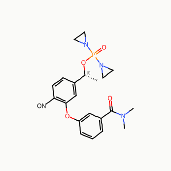 C[C@@H](OP(=O)(N1CC1)N1CC1)c1ccc(N=O)c(Oc2cccc(C(=O)N(C)C)c2)c1